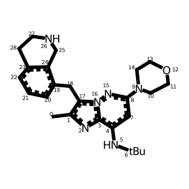 Cc1nc2c(NC(C)(C)C)cc(N3CCOCC3)nn2c1Cc1cccc2c1CNCC2